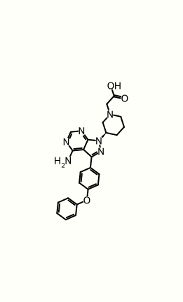 Nc1ncnc2c1c(-c1ccc(Oc3ccccc3)cc1)nn2[C@@H]1CCCN(CC(=O)O)C1